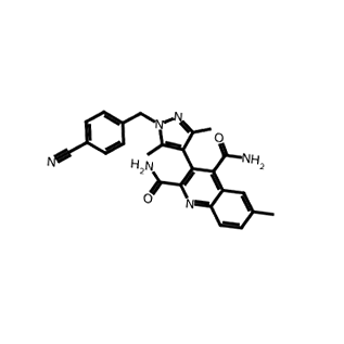 Cc1ccc2nc(C(N)=O)c(-c3c(C)nn(Cc4ccc(C#N)cc4)c3C)c(C(N)=O)c2c1